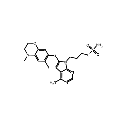 CN1CCOc2cc(Sc3nc4c(N)ncnc4n3CCCOS(N)(=O)=O)c(I)cc21